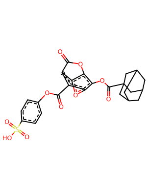 O=C1Oc2c(OC(=O)C34CC5CC(CC(C5)C3)C4)c3oc2c1c3C(=O)Oc1ccc(S(=O)(=O)O)cc1